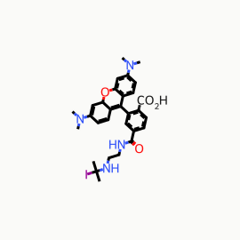 CN(C)C1=CC2Oc3cc(N(C)C)ccc3C(c3cc(C(=O)NCCNC(C)(C)I)ccc3C(=O)O)=C2C=C1